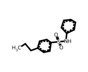 CCCc1ccc(S(=O)(=O)Nc2ccccc2)cc1